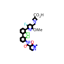 COc1nc(-c2cccc(-c3cccc(NC(=O)c4ccnn(C)c4=O)c3Cl)c2Cl)c(F)cc1CN1CC(C(=O)O)C1